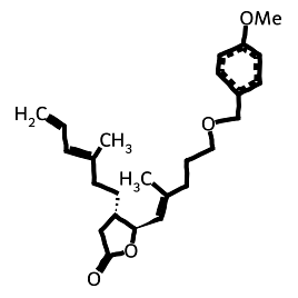 C=C/C=C(\C)CC[C@H]1CC(=O)O[C@@H]1/C=C(\C)CCCOCc1ccc(OC)cc1